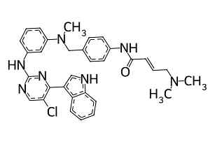 CN(C)C/C=C/C(=O)Nc1ccc(CN(C)c2cccc(Nc3ncc(Cl)c(-c4c[nH]c5ccccc45)n3)c2)cc1